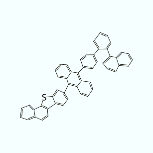 c1ccc(-c2cccc3ccccc23)c(-c2ccc(-c3c4ccccc4c(-c4ccc5c(c4)sc4c6ccccc6ccc54)c4ccccc34)cc2)c1